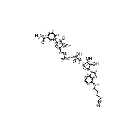 [N-]=[N+]=NCCCNc1ncnc2c1ncn2[C@@H]1O[C@H](COP(=O)(O)OO[PH](=O)OC[C@H]2O[C@@H]([n+]3cccc(C(N)=O)c3)[C@@H](Cl)[C@@H]2O)[C@@H](O)[C@H]1O